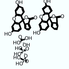 O=C1OC2(c3ccc(O)cc3Oc3cc(O)ccc32)c2ccccc21.O=C1OC2(c3ccc(O)cc3Oc3cc(O)ccc32)c2ccccc21.O=P(O)(O)O.O=P(O)(O)OP(=O)(O)O